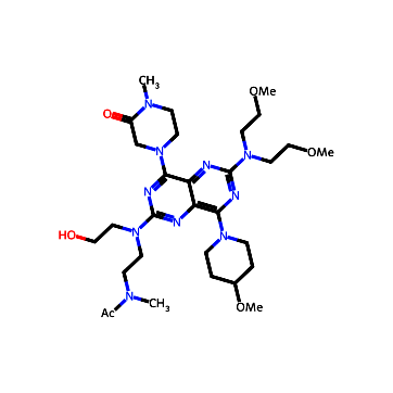 COCCN(CCOC)c1nc(N2CCC(OC)CC2)c2nc(N(CCO)CCN(C)C(C)=O)nc(N3CCN(C)C(=O)C3)c2n1